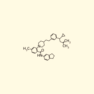 C=C(C)CC(c1cccc(CCC2CCN(c3cc(C)ccc3C(=O)Nc3ccc4c(c3)CCC4)CC2)c1)C1CC1